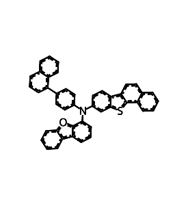 c1ccc2c(-c3ccc(N(c4ccc5c(c4)sc4c6ccccc6ccc54)c4cccc5c4oc4ccccc45)cc3)cccc2c1